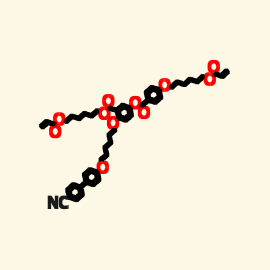 C=CC(=O)OCCCCCCOC(=O)c1cc(OC(=O)c2ccc(OCCCCCCOC(=O)C=C)cc2)ccc1OCCCCCCOc1ccc(-c2ccc(C#N)cc2)cc1